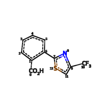 O=C(O)c1ccccc1-c1nc(C(F)(F)F)cs1